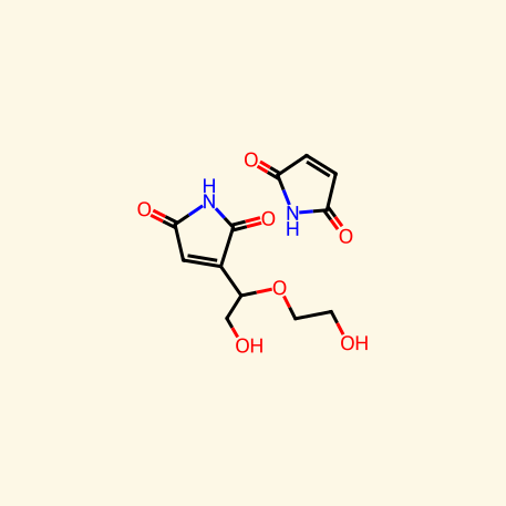 O=C1C=C(C(CO)OCCO)C(=O)N1.O=C1C=CC(=O)N1